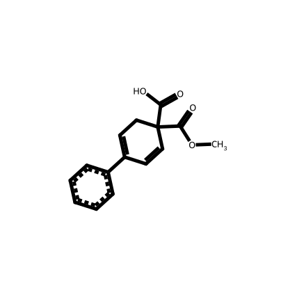 COC(=O)C1(C(=O)O)C=CC(c2ccccc2)=CC1